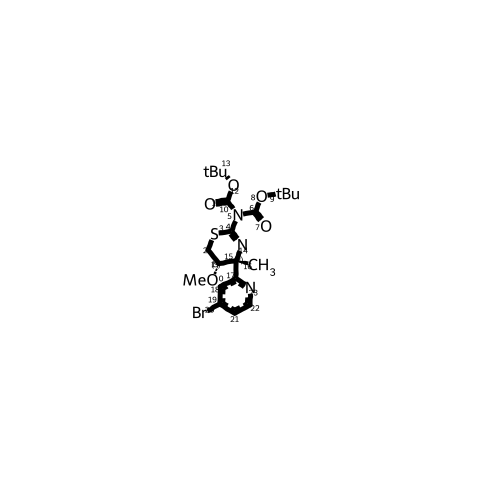 CO[C@@H]1CSC(N(C(=O)OC(C)(C)C)C(=O)OC(C)(C)C)=N[C@]1(C)c1cc(Br)ccn1